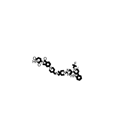 C[C@@H]1Cc2c([nH]c3ccccc23)[C@@H](c2cnc(N3CCC4(CC3)CN(CC3CCN(c5ccc6c(c5)CN(C5CCC(=O)NC5=O)C6=O)CC3)C4)nc2)N1CC(C)(C)F